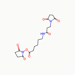 O=C(CCN1C(=O)CCC1=O)NCCCCCC(=O)ON1C(=O)CCC1=O